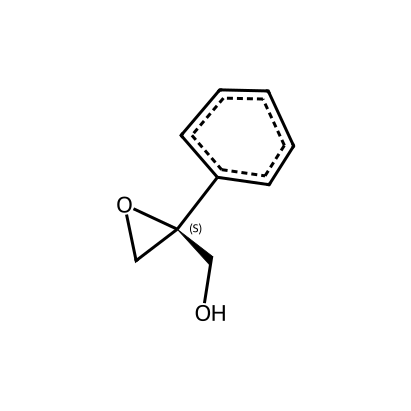 OC[C@@]1(c2ccccc2)CO1